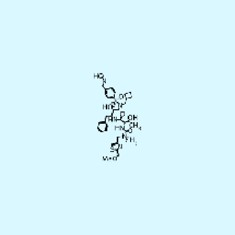 COCc1nc(CN(C)C(=O)N[C@H](C(=O)N[C@@H](Cc2ccccc2)[C@@H](O)CN(CC2CCC2)S(=O)(=O)c2ccc(C=NO)cc2)[C@H](C)O)cs1